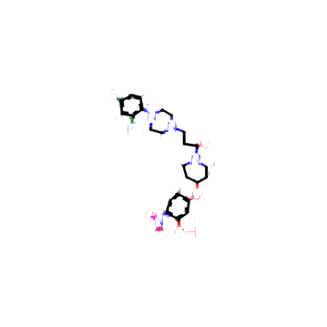 O=C(CCN1CCN(c2ccc(F)cc2F)CC1)N1CCC(Oc2ccc([N+](=O)[O-])c(O)c2)CC1